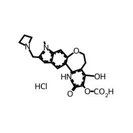 Cl.Cn1c(CN2CCC2)cc2cc3c(cc21)OCCc1c-3[nH]c(=O)c(OC(=O)O)c1O